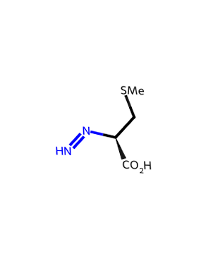 CSC[C@H](N=N)C(=O)O